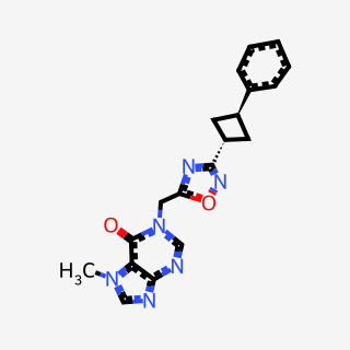 Cn1cnc2ncn(Cc3nc([C@H]4C[C@H](c5ccccc5)C4)no3)c(=O)c21